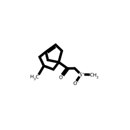 CC1CC2=CCC(C(=O)C[S+](C)[O-])(C2)C1